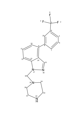 FC(F)(F)c1cccc(-c2cccc3c2cnn3CN2CCNCC2)c1